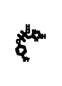 CC(C)c1ccc(OC(C)(C)C(C)(O)Cc2nc[nH]n2)cc1